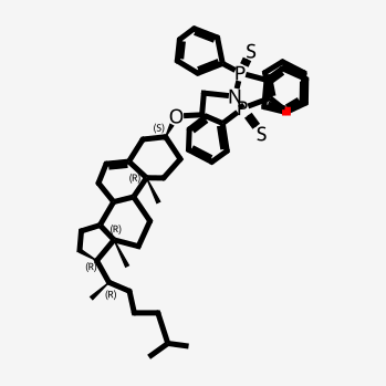 CC(C)CCC[C@@H](C)[C@H]1CCC2C3CC=C4C[C@@H](OCCN(P(=S)(c5ccccc5)c5ccccc5)P(=S)(c5ccccc5)c5ccccc5)CC[C@]4(C)C3CC[C@@]21C